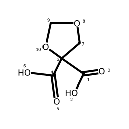 O=C(O)C1(C(=O)O)COCO1